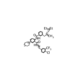 CCN(CC)CCN(C)Cc1cccc(C(=O)Nc2ccc(N3CCSCC3)cc2C(=O)NN=Cc2ccc(Cl)c(C(F)(F)F)c2)c1